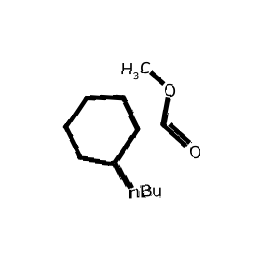 CCCCC1CCCCC1.COC=O